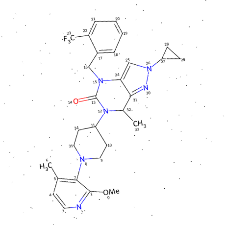 COc1nccc(C)c1N1CCC(N2C(=O)N(Cc3ccccc3C(F)(F)F)c3cn(C4CC4)nc3C2C)CC1